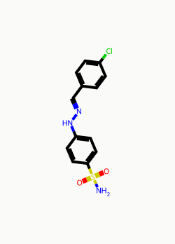 NS(=O)(=O)c1ccc(NN=Cc2ccc(Cl)cc2)cc1